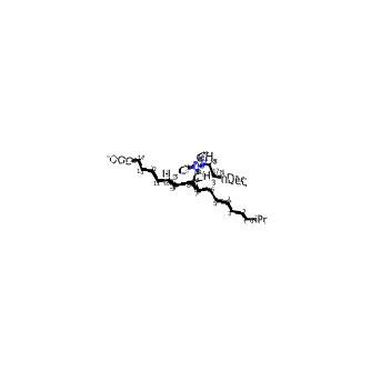 CC(C)CCCCCCCCCCCCCCC(=O)[O-].CCCCCCCCCCCC[N+](C)(C)C